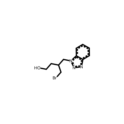 OCCC(CBr)Cn1nnc2ccccc21